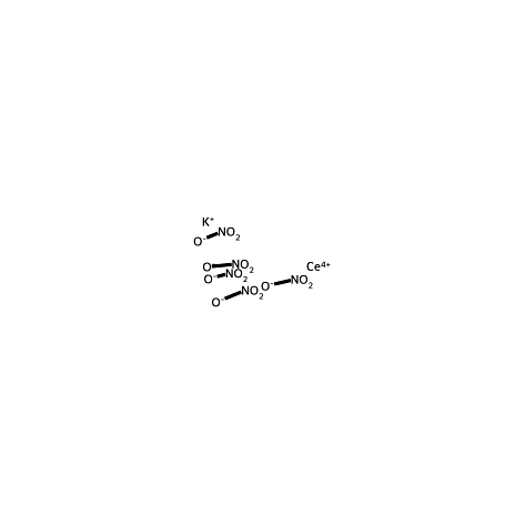 O=[N+]([O-])[O-].O=[N+]([O-])[O-].O=[N+]([O-])[O-].O=[N+]([O-])[O-].O=[N+]([O-])[O-].[Ce+4].[K+]